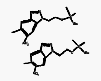 Cc1cc2cnn(CCO[Si](C)(C)C(C)(C)C)c2cc1N.Cc1cc2cnn(CCO[Si](C)(C)C(C)(C)C)c2cc1[N+](=O)[O-]